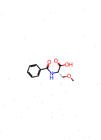 COC[C@H](NC(=O)c1ccccc1)C(=O)O